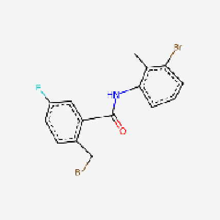 Cc1c(Br)cccc1NC(=O)c1cc(F)ccc1CBr